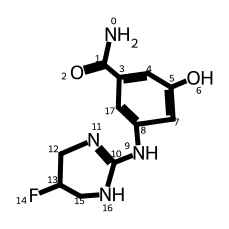 NC(=O)c1cc(O)cc(NC2=NCC(F)CN2)c1